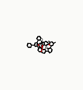 Cc1cc(C)cc(-c2cccc3c4cccc(-c5cc(C)cc(C)c5)c4n(-c4cccc5c4C(=O)N(c4c(-c6ccccc6)cc(-c6ccccc6)cc4-c4ccccc4)C5=O)c23)c1